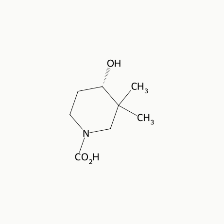 CC1(C)CN(C(=O)O)CC[C@@H]1O